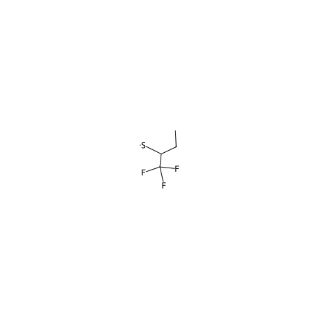 CCC([S])C(F)(F)F